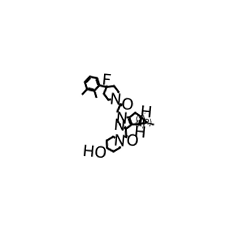 Cc1cccc(C2(F)CCN(C(=O)Cn3nc(C(=O)N4CCC(O)CC4)c4c3C[C@H]3[C@@H](C)[C@@H]43)CC2)c1C